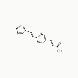 O=C(O)/C=C/c1ccc(/C=C/c2cccnc2)nc1